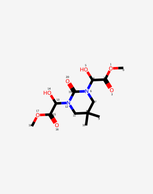 COC(=O)C(O)N1CC(C)(C)CN(C(O)C(=O)OC)C1=O